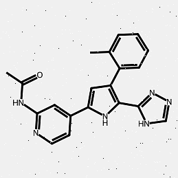 CC(=O)Nc1cc(-c2cc(-c3ccccc3C)c(-c3nnc[nH]3)[nH]2)ccn1